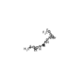 CCn1c2ccc(CNCCn3cc(CNCCOCCNCc4cc(Br)ccc4OCc4ccc(F)c(C(F)(F)F)c4)cn3)cc2c2ccc(-c3cc(C)cs3)cc21